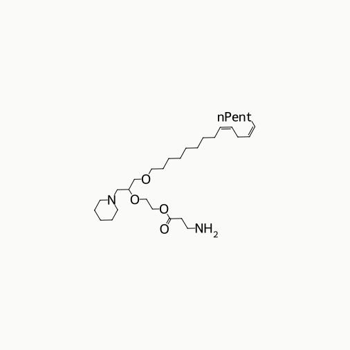 CCCCC/C=C\C/C=C\CCCCCCCCOCC(CN1CCCCC1)OCCOC(=O)CCN